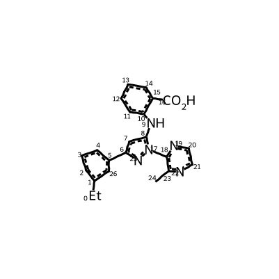 CCc1cccc(-c2cc(Nc3ccccc3C(=O)O)n(-c3nccnc3C)n2)c1